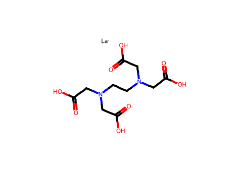 O=C(O)CN(CCN(CC(=O)O)CC(=O)O)CC(=O)O.[La]